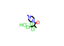 CC(C(=O)N1CCN(C)CC1)C(Cl)(Cl)Cl.Cl